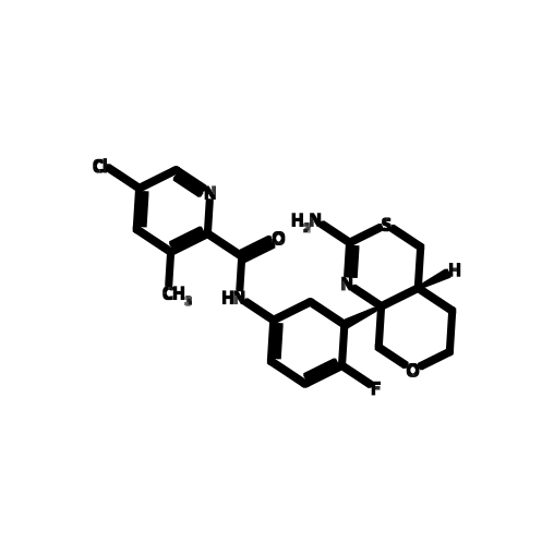 Cc1cc(Cl)cnc1C(=O)NC1=CC=C(F)C([C@]23COCC[C@H]2CSC(N)=N3)C1